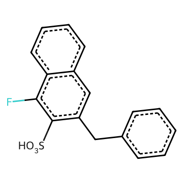 O=S(=O)(O)c1c(Cc2ccccc2)cc2ccccc2c1F